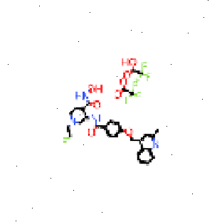 Cc1cc(COc2ccc(C(=O)N[C@@H]3CN(CCF)CC[C@@H]3C(=O)NO)cc2)c2ccccc2n1.O=C(O)C(F)(F)F.O=C(O)C(F)(F)F